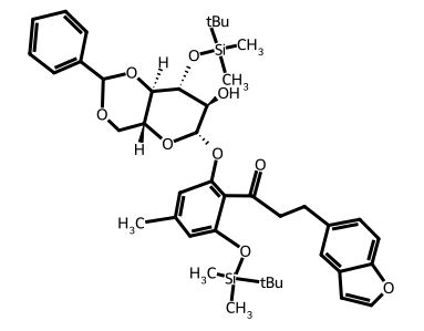 Cc1cc(O[C@@H]2O[C@@H]3COC(c4ccccc4)O[C@H]3[C@H](O[Si](C)(C)C(C)(C)C)[C@H]2O)c(C(=O)CCc2ccc3occc3c2)c(O[Si](C)(C)C(C)(C)C)c1